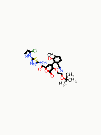 COc1cccc(C#N)c1-c1cc(C(=O)Nc2nnc(-n3nccc3Cl)s2)oc(=O)c1OCCOC(C)(C)C